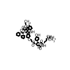 C=CCOC(=O)[C@H]1[C@@H]2C(=O)O[C@@H](c3ccccc3)[C@@H](c3ccccc3)N2[C@H](c2ccc(OCCOC(=O)[C@@H]3C[C@@H]4C(=O)N[C@@H](CCCC[N+](C)(C)C)C(=O)N4[C@@H]3c3ccc(O)cc3)cc2)[C@]12C(=O)Nc1ccc(I)cc12